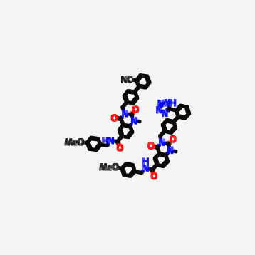 COc1ccc(CNC(=O)c2ccc3c(c2)c(=O)n(Cc2ccc(-c4ccccc4-c4nnn[nH]4)cc2)c(=O)n3C)cc1.COc1ccc(CNC(=O)c2ccc3c(c2)c(=O)n(Cc2ccc(-c4ccccc4C#N)cc2)c(=O)n3C)cc1